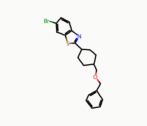 Brc1ccc2nc(C3CCC(COCc4ccccc4)CC3)sc2c1